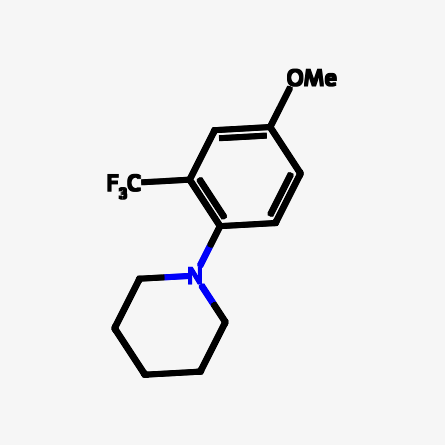 COc1ccc(N2CCCCC2)c(C(F)(F)F)c1